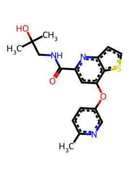 Cc1ccc(Oc2cc(C(=O)NCC(C)(C)O)nc3ccsc23)cn1